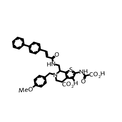 COc1ccc(CN2CCc3c(sc(NC(=O)C(=O)O)c3C(=O)O)C2CNC(=O)C=Cc2ccc(-c3ccccc3)cc2)cc1